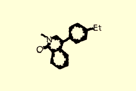 CCc1ccc(-c2cn(C)c(=O)c3ccccc23)cc1